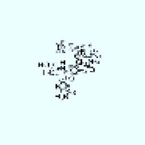 NC(=O)c1cncc(COc2cc(CCC(=O)N3CCCC4(CCCN(C(=O)CCCN5CCCC5)C4)C3)c(Cl)cc2CNC(CO)C(=O)O)c1